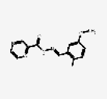 COc1ccc(F)c(C=NNC(=O)c2cnccn2)c1